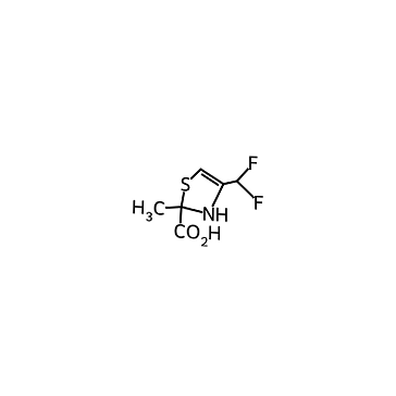 CC1(C(=O)O)NC(C(F)F)=CS1